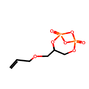 C=CCOCC1COP2(=O)OP(=O)(O1)O2